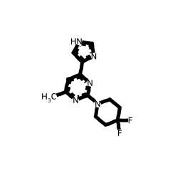 Cc1cc(-c2c[nH]cn2)nc(N2CCC(F)(F)CC2)n1